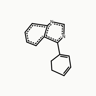 C1=CCCC(c2ncnc3ccccc23)=C1